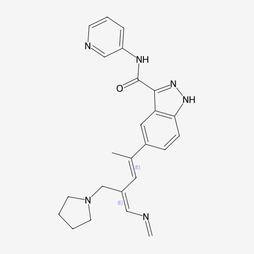 C=N/C=C(\C=C(/C)c1ccc2[nH]nc(C(=O)Nc3cccnc3)c2c1)CN1CCCC1